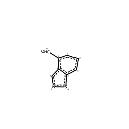 O=Cc1cccc2sncc12